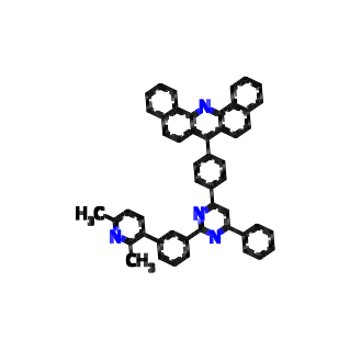 Cc1ccc(-c2cccc(-c3nc(-c4ccccc4)cc(-c4ccc(-c5c6ccc7ccccc7c6nc6c5ccc5ccccc56)cc4)n3)c2)c(C)n1